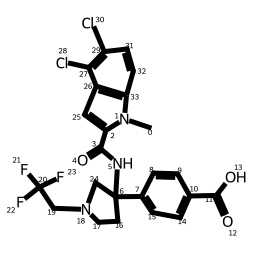 Cn1c(C(=O)NC2(c3ccc(C(=O)O)cc3)CCN(CC(F)(F)F)C2)cc2c(Cl)c(Cl)ccc21